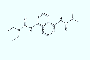 CCN(CC)C(=O)Nc1cccc2c(NC(=O)N(C)C)cccc12